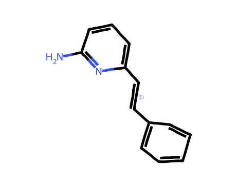 Nc1cccc(/C=C/c2ccccc2)n1